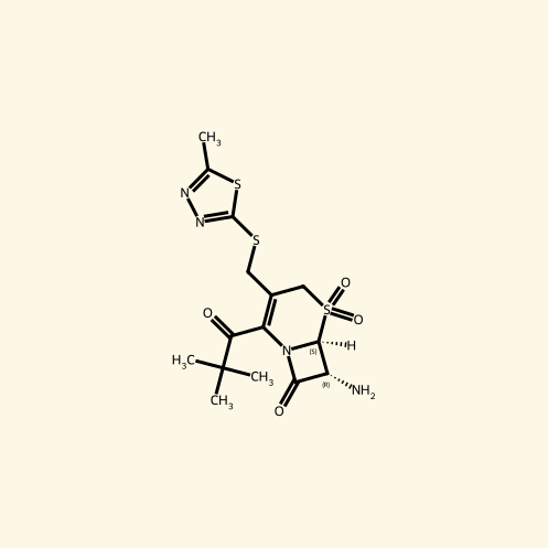 Cc1nnc(SCC2=C(C(=O)C(C)(C)C)N3C(=O)[C@@H](N)[C@@H]3S(=O)(=O)C2)s1